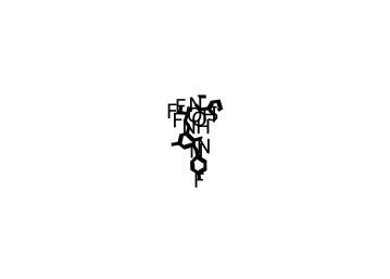 CCN(CC(O)(CNc1cc(C)cc2c1cnn2-c1ccc(F)cc1)C(F)(F)F)C(=O)c1cccs1